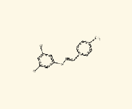 Cc1ccc(/C=N/Oc2cc(Cl)cc(Cl)c2)cc1